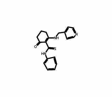 O=C1CCCC(NCc2ccncc2)=C1C(=S)Nc1ccccc1